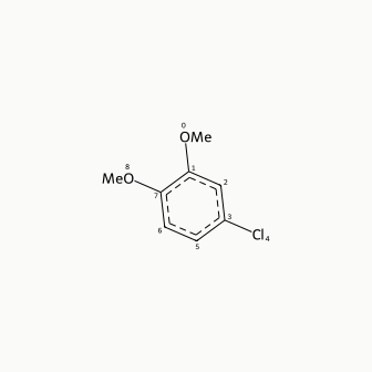 [CH2]Oc1cc(Cl)ccc1OC